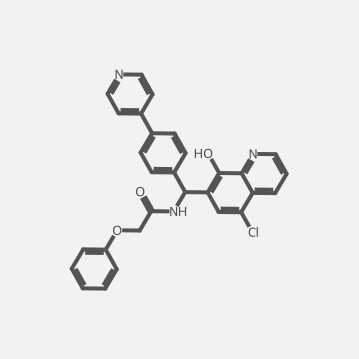 O=C(COc1ccccc1)NC(c1ccc(-c2ccncc2)cc1)c1cc(Cl)c2cccnc2c1O